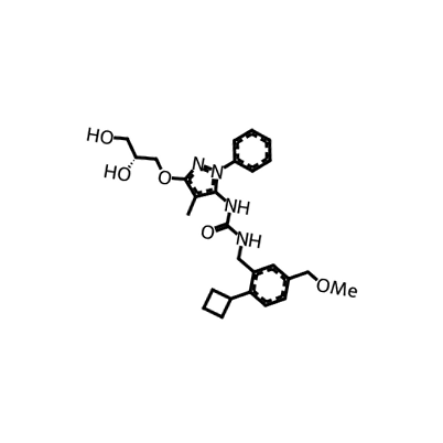 COCc1ccc(C2CCC2)c(CNC(=O)Nc2c(C)c(OC[C@H](O)CO)nn2-c2ccccc2)c1